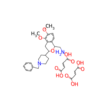 COc1ccc2c(c1OC)CC(C1CCN(Cc3ccccc3)CC1)OC2CN.O=C(O)C=CC(=O)O.O=C(O)C=CC(=O)O